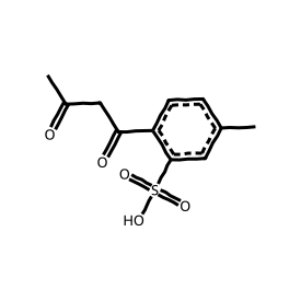 CC(=O)CC(=O)c1ccc(C)cc1S(=O)(=O)O